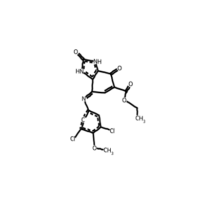 CCOC(=O)C1=CC(=Nc2cc(Cl)c(OC)c(Cl)c2)c2[nH]c(=O)[nH]c2C1=O